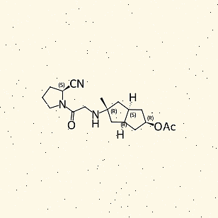 CC(=O)O[C@@H]1C[C@@H]2C[C@@](C)(NCC(=O)N3CCC[C@H]3C#N)C[C@@H]2C1